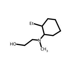 CCC1CCCCC1N(C)CCO